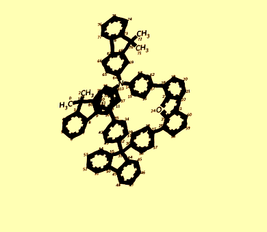 CC1(C)c2ccccc2-c2ccc(N(c3ccc(-c4cccc5c4oc4c(-c6ccc(C7(c8ccc(-c9ccccc9)cc8)c8ccccc8-c8ccccc87)cc6)cccc45)cc3)c3ccc4c(c3)C(C)(C)c3ccccc3-4)cc21